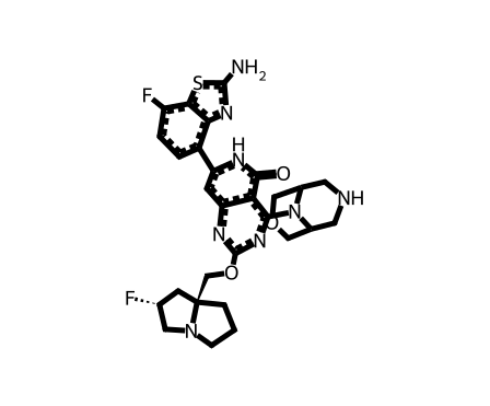 Nc1nc2c(-c3cc4nc(OC[C@@]56CCCN5C[C@H](F)C6)nc(N5C6CNCC5COC6)c4c(=O)[nH]3)ccc(F)c2s1